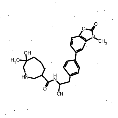 Cn1c(=O)oc2ccc(-c3ccc(C[C@@H](C#N)NC(=O)C4CCCC(C)(O)CNC4)cc3)cc21